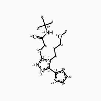 COCCCn1c(SCC(=O)NC(C)(C)C)nnc1-c1cccs1